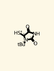 CC(C)(C)N1C(=O)NC(=O)C1S